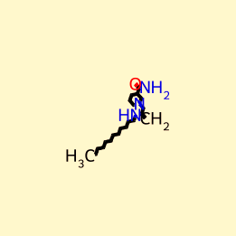 C=C(CN1CCCC(C(N)=O)C1)NCCCCCCCCCCCC